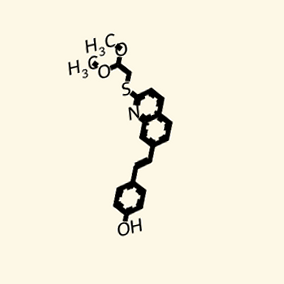 COC(CSc1ccc2ccc(C=Cc3ccc(O)cc3)cc2n1)OC